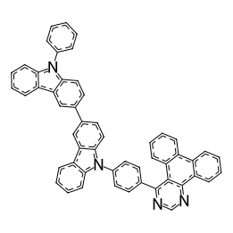 c1ccc(-n2c3ccccc3c3cc(-c4ccc5c(c4)c4ccccc4n5-c4ccc(-c5ncnc6c7ccccc7c7ccccc7c56)cc4)ccc32)cc1